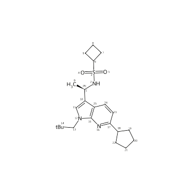 C[C@@H](NS(=O)(=O)C1CCC1)c1cn(CC(C)(C)C)c2nc(C3CCCC3)ccc12